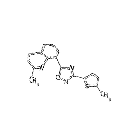 Cc1ccc2cccc(-c3nc(-c4ccc(C)s4)no3)c2n1